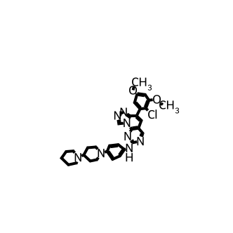 COc1cc(OC)c(Cl)c(-c2cc3cnc(Nc4ccc(N5CCC(N6CCCCC6)CC5)cc4)nc3n3cnnc23)c1